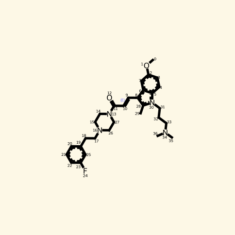 COc1ccc2c(c1)c(/C=C/C(=O)N1CCN(CCc3cccc(F)c3)CC1)c(C)n2CCCN(C)C